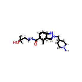 Cc1c(C(=O)NCCC(C)(C)O)ccc2nn(CC3CCN(C)CC3)cc12